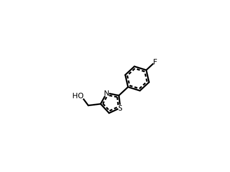 OCc1csc(-c2ccc(F)cc2)n1